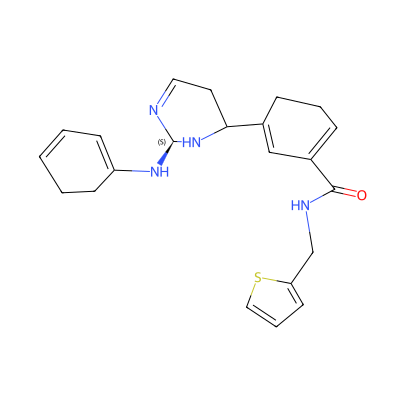 O=C(NCc1cccs1)C1=CCCC(C2CC=N[C@H](NC3=CC=CCC3)N2)=C1